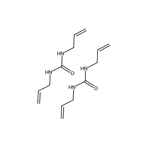 C=CCNC(=O)NCC=C.C=CCNC(=O)NCC=C